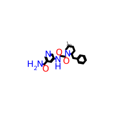 C[C@@H]1CCC(Cc2ccccc2)N(C(=O)C(=O)Nc2cncc(C(N)=O)c2)C1